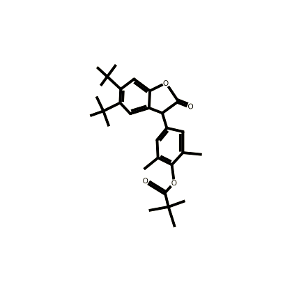 Cc1cc(C2C(=O)Oc3cc(C(C)(C)C)c(C(C)(C)C)cc32)cc(C)c1OC(=O)C(C)(C)C